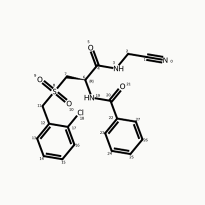 N#CCNC(=O)[C@H](CS(=O)(=O)Cc1ccccc1Cl)NC(=O)c1ccccc1